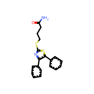 NC(=O)CCCSc1nc(-c2ccccc2)c(-c2ccccc2)s1